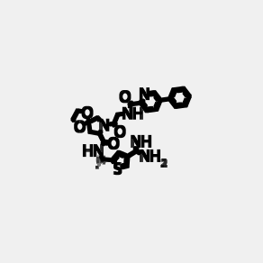 C[C@H](NC(=O)C1CC2(CN1C(=O)CNC(=O)c1ccc(-c3ccccc3)cn1)OCCO2)c1cc(C(=N)N)cs1